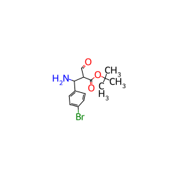 CC(C)(C)OC(=O)C(C=O)C(N)c1ccc(Br)cc1